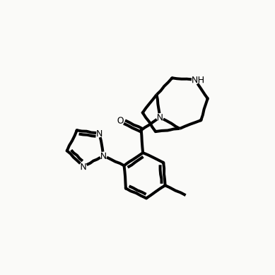 Cc1ccc(-n2nccn2)c(C(=O)N2C3CCNCC2CC3)c1